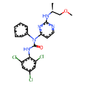 COC[C@H](C)Nc1nccc(N(C(=O)Nc2c(Cl)cc(Cl)cc2Cl)c2ccccc2)n1